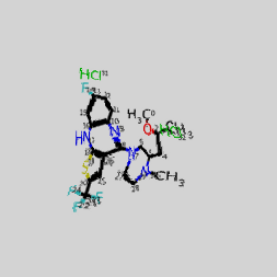 CO[C@@H](C)CC1CN(C2=Nc3ccc(F)cc3Nc3sc(C(F)(F)F)cc32)CCN1C.Cl.Cl